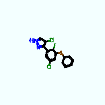 Fc1c(Sc2ccccc2)cc(Cl)cc1-c1n[nH]cc1Cl